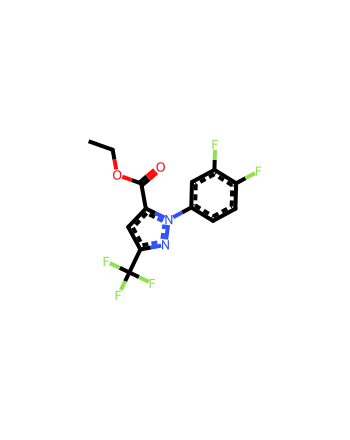 CCOC(=O)c1cc(C(F)(F)F)nn1-c1ccc(F)c(F)c1